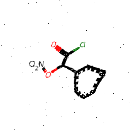 O=C(Cl)C(O[N+](=O)[O-])c1ccccc1